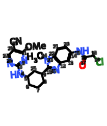 COc1nc(N[C@@H]2CCC[C@H](c3nc4cc(NC(=O)CCl)ccc4n3C)C2)ncc1C#N